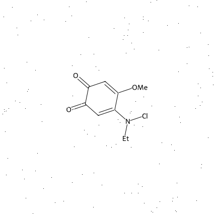 CCN(Cl)C1=CC(=O)C(=O)C=C1OC